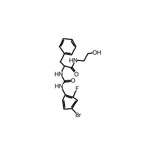 O=C(Nc1ccc(Br)cc1F)NC(Cc1ccccc1)C(=O)NCCO